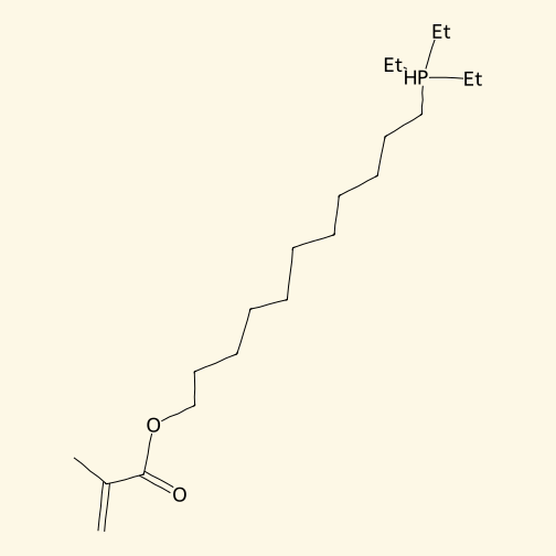 C=C(C)C(=O)OCCCCCCCCCCC[PH](CC)(CC)CC